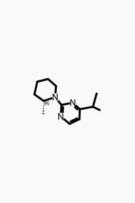 CC(C)c1ccnc(N2CCCC[C@H]2C)n1